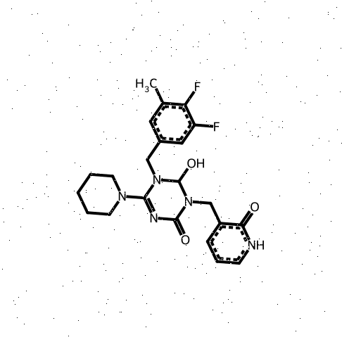 Cc1cc(CN2C(N3CCCCC3)=NC(=O)N(Cc3ccc[nH]c3=O)C2O)cc(F)c1F